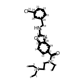 CCN(CC)CCN(CC)C(=O)c1ccc2oc(NCc3cccc(Cl)c3)nc2c1